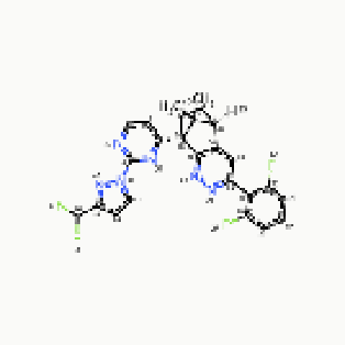 CC1(C)[C@H]2CC[C@]1(c1ccnc(-n3ccc(C(F)F)n3)n1)c1nnc(-c3c(F)cccc3F)cc12